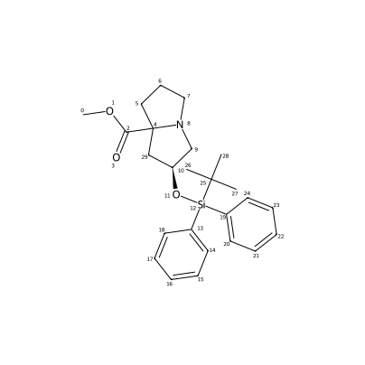 COC(=O)C12CCCN1C[C@@H](O[Si](c1ccccc1)(c1ccccc1)C(C)(C)C)C2